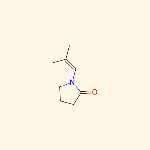 CC(C)=CN1CCCC1=O